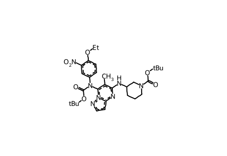 CCOc1ccc(N(C(=O)OC(C)(C)C)c2c(C)c(NC3CCCN(C(=O)OC(C)(C)C)C3)nc3ccnn23)cc1[N+](=O)[O-]